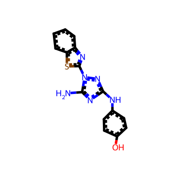 Nc1nc(Nc2ccc(O)cc2)nn1-c1nc2ccccc2s1